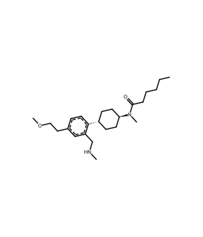 CCCCCC(=O)N(C)[C@H]1CC[C@H](c2ccc(CCOC)cc2CNC)CC1